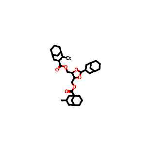 CCC1C2CCCC(C2)CC1C(=O)OCC1OC(C2CC3CCCC(C3)C2)OC1COC(=O)C12CCCC(CC(C)C1)C2